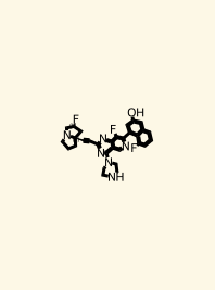 Oc1cc(-c2ncc3c(N4CCNCC4)nc(C#C[C@@]45CCCN4C[C@H](F)C5)nc3c2F)c2c(F)cccc2c1